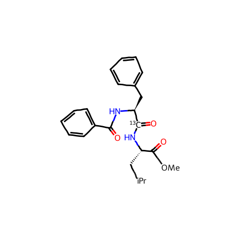 COC(=O)[C@H](CC(C)C)N[13C](=O)[C@H](Cc1ccccc1)NC(=O)c1ccccc1